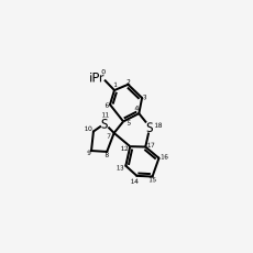 CC(C)c1ccc2c(c1)C1(CCCS1)c1ccccc1S2